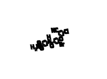 N#Cc1cc(Cl)cc(Oc2ccc(C(=O)Nc3ccc(S(N)(=O)=O)cc3)cc2Br)c1